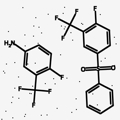 Nc1ccc(F)c(C(F)(F)F)c1.O=S(=O)(c1ccccc1)c1ccc(F)c(C(F)(F)F)c1